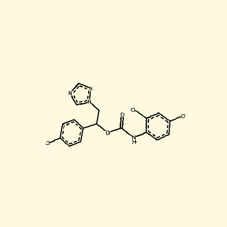 O=C(Nc1ccc(Cl)cc1Cl)OC(Cn1cncn1)c1ccc(Cl)cc1